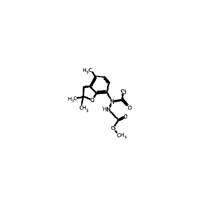 COC(=O)NN(C(=O)Cl)c1ccc(C)c2c1OC(C)(C)C2